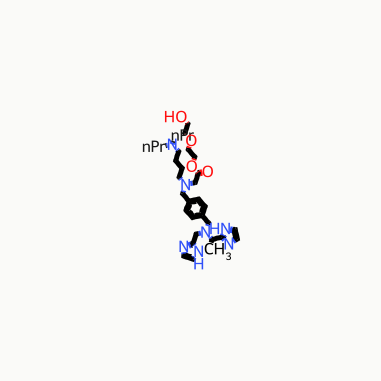 CCCN(CCC)CCCCN(CC(=O)OCCOCCO)Cc1ccc(CN(Cc2ncc[nH]2)C(C)c2ncc[nH]2)cc1